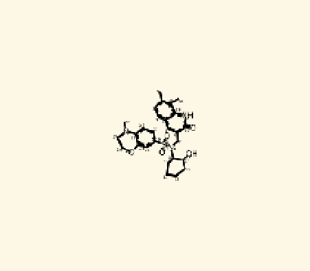 Cc1ccc2cc(CN(C3CCCCC3O)S(=O)(=O)c3ccc4c(c3)OCCN4C)c(=O)[nH]c2c1C